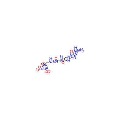 COC(=O)CN1CCN(CC(=O)OC)CCN(C(C=O)CCNCCNC(=O)CCCNC(=O)c2ccc(NCc3cnc4nc(N)[nH]c(=O)c4n3)cc2)CC1